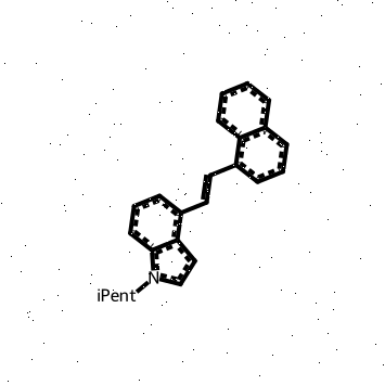 CCCC(C)n1ccc2c(C=Cc3cccc4ccccc34)cccc21